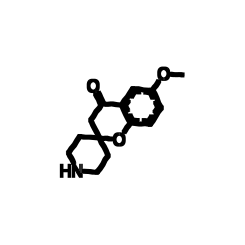 COc1ccc2c(c1)C(=O)CC1(CCNCC1)O2